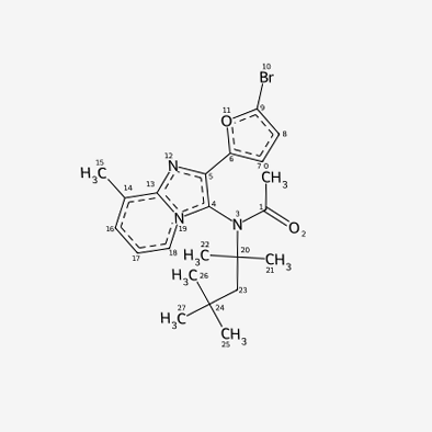 CC(=O)N(c1c(-c2ccc(Br)o2)nc2c(C)cccn12)C(C)(C)CC(C)(C)C